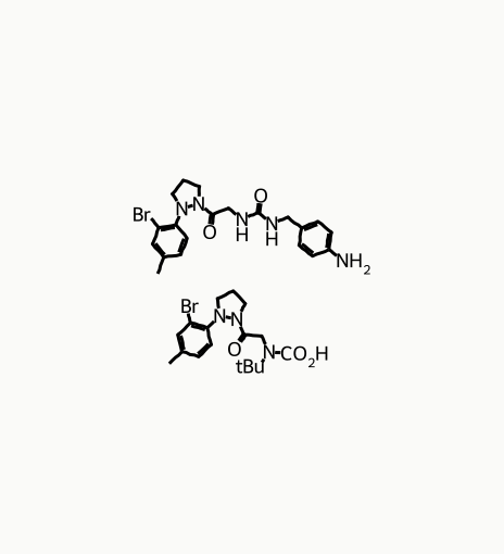 Cc1ccc(N2CCCN2C(=O)CN(C(=O)O)C(C)(C)C)c(Br)c1.Cc1ccc(N2CCCN2C(=O)CNC(=O)NCc2ccc(N)cc2)c(Br)c1